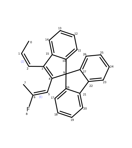 C/C=C\C1=C(/C=C(\C)F)C2(c3ccccc31)c1ccccc1-c1ccccc12